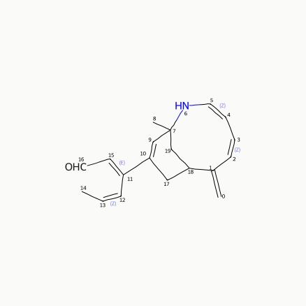 C=C1/C=C\C=C/NC2(C)C=C(C(/C=C\C)=C/C=O)CC1C2